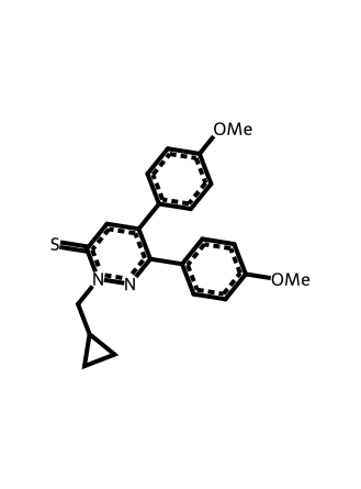 COc1ccc(-c2cc(=S)n(CC3CC3)nc2-c2ccc(OC)cc2)cc1